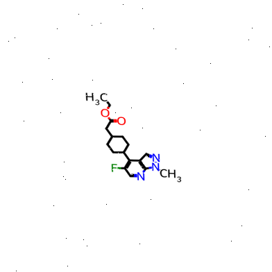 CCOC(=O)CC1CCC(c2c(F)cnc3c2cnn3C)CC1